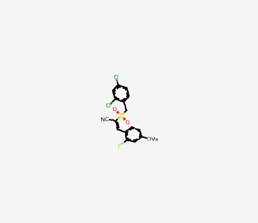 COc1ccc(C=C(C#N)S(=O)(=O)Cc2ccc(Cl)cc2Cl)c(F)c1